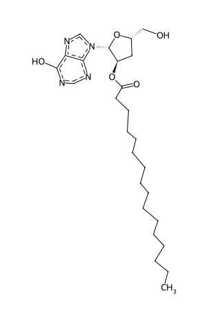 CCCCCCCCCCCCCCCC(=O)O[C@@H]1C[C@@H](CO)O[C@H]1n1cnc2c(O)ncnc21